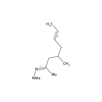 C/C=C/CC(C)C/C(=N/NC)C(C)CC